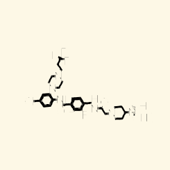 CN(C)C1CCN(CC(=O)NCc2ccc(C(=O)Nc3ccc(Cl)cc3N3CCN(CCC(F)(F)F)CC3)c(F)c2F)CC1